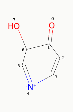 O=C1C=C[N+]=CC1O